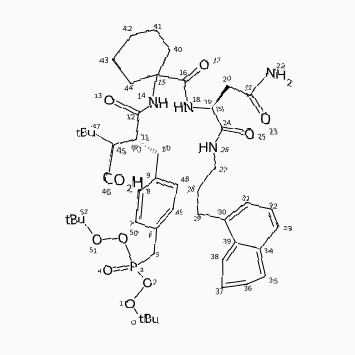 CC(C)(C)OOP(=O)(Cc1ccc(C[C@@H](C(=O)NC2(C(=O)N[C@@H](CC(N)=O)C(=O)NCCCc3cccc4ccccc34)CCCCC2)C(C(=O)O)C(C)(C)C)cc1)OOC(C)(C)C